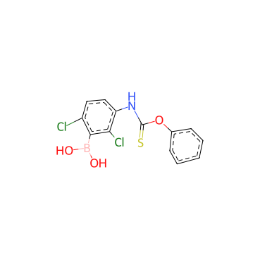 OB(O)c1c(Cl)ccc(NC(=S)Oc2ccccc2)c1Cl